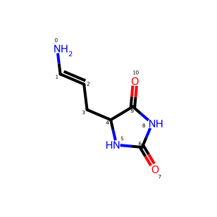 NC=CCC1NC(=O)NC1=O